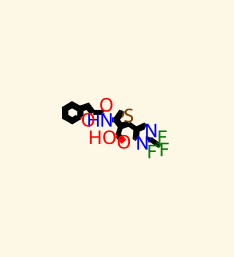 O=C(Nc1csc(-c2cnc(C(F)(F)F)nc2)c1C(=O)O)c1cc2ccccc2o1